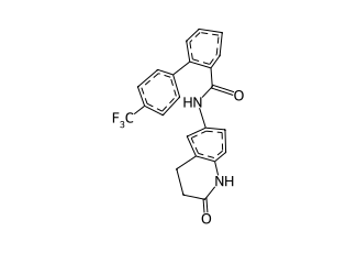 O=C1CCc2cc(NC(=O)c3ccccc3-c3ccc(C(F)(F)F)cc3)ccc2N1